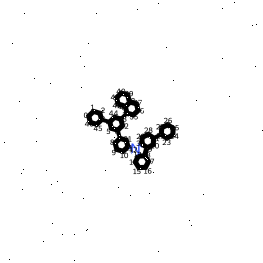 c1ccc(-c2cc(-c3cccc(-n4c5ccccc5c5cc(-c6ccccc6)ccc54)c3)cc(-c3cccc4ccccc34)c2)cc1